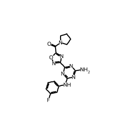 Nc1nc(Nc2cccc(F)c2)nc(-c2noc(C(=O)N3CCCC3)n2)n1